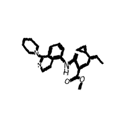 C=C(Nc1cccc2c(N3CCCCC3)nccc12)/C(=C\C(=C/C)C1CC1)C(=O)OC